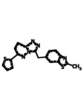 Cc1nc2ccc(Cc3nnc4ccc(-c5cccs5)nn34)cc2s1